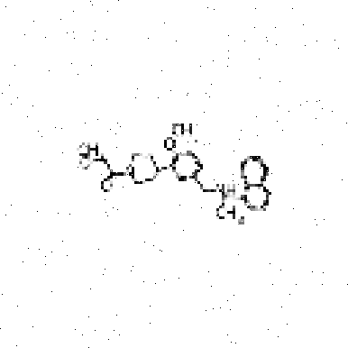 COCC(=O)N1CCC(c2cc(CN[C@H](C)c3cccc4ccccc34)ccc2OC)CC1